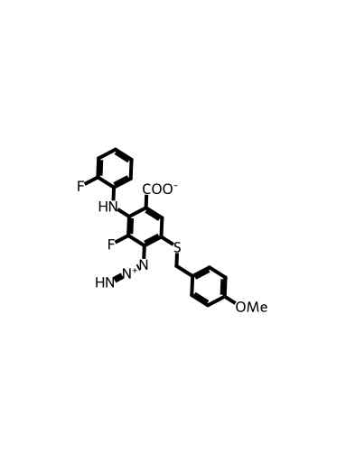 COc1ccc(CSc2cc(C(=O)[O-])c(Nc3ccccc3F)c(F)c2N=[N+]=N)cc1